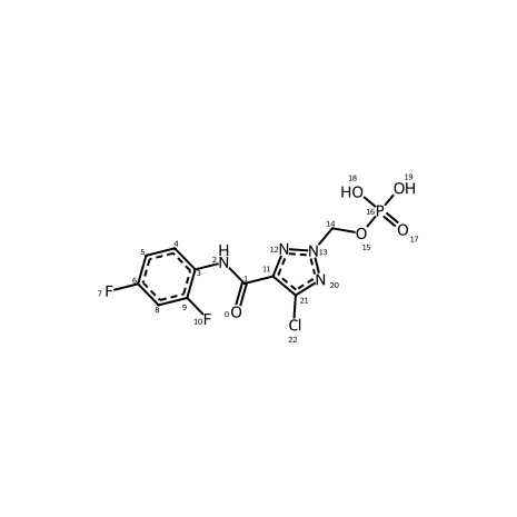 O=C(Nc1ccc(F)cc1F)c1nn(COP(=O)(O)O)nc1Cl